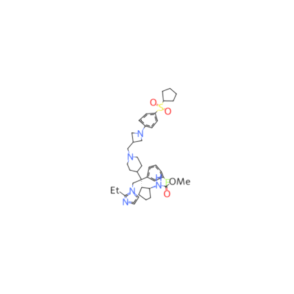 CCc1nccn1CC(c1cccc(F)c1)(C1CCN(CC2CN(c3ccc(S(=O)(=O)C4CCCC4)cc3)C2)CC1)[C@H]1CCC[C@@H]1NC(=O)OC